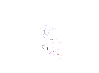 CC(C)OC(=O)[C@@H](C)NP(=S)(OC[C@H]1O[C@@H](n2cnc3c(=O)[nH]c(N)nc32)C(Cl)(Cl)[C@@H]1O)Oc1ccccc1